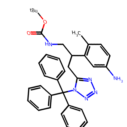 Cc1ccc(N)cc1C(CNC(=O)OC(C)(C)C)Cc1nnnn1C(c1ccccc1)(c1ccccc1)c1ccccc1